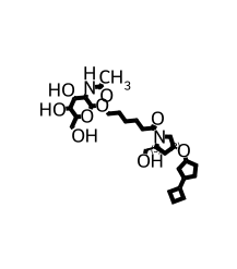 CC(=O)NC1C(OCCCCCC(=O)N2C[C@H](OC3CCC(C4CCC4)C3)C[C@H]2CO)OC(CO)C(O)C1O